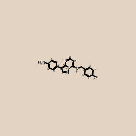 Nc1ccc(-c2cnn3c(NCc4ccc(F)cc4)ccnc23)cc1